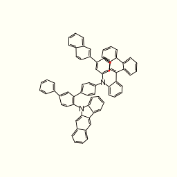 c1ccc(-c2ccc(-n3c4ccccc4c4cc5ccccc5cc43)c(-c3ccc(N(c4cccc(-c5ccc6ccccc6c5)c4)c4ccccc4-c4cc5ccccc5c5ccccc45)cc3)c2)cc1